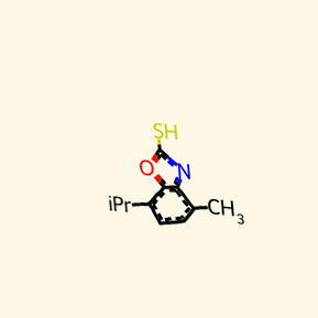 Cc1ccc(C(C)C)c2oc(S)nc12